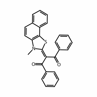 CN1C(=C(C(=O)c2ccccc2)C(=O)c2ccccc2)Sc2c1ccc1ccccc21